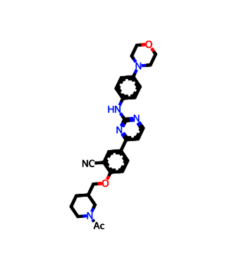 CC(=O)N1CCCC(COc2ccc(-c3ccnc(Nc4ccc(N5CCOCC5)cc4)n3)cc2C#N)C1